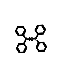 c1ccc([P]([Ni][P](c2ccccc2)c2ccccc2)c2ccccc2)cc1